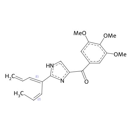 C=C/C=C(\C=C/C)c1nc(C(=O)c2cc(OC)c(OC)c(OC)c2)c[nH]1